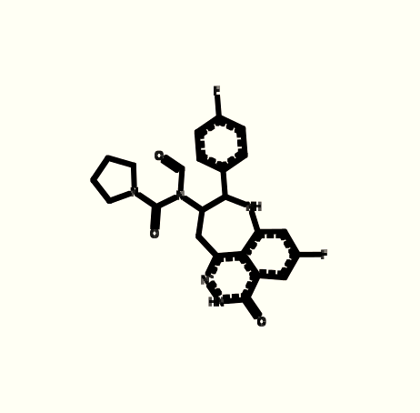 O=CN(C(=O)N1CCCC1)C1Cc2n[nH]c(=O)c3cc(F)cc(c23)NC1c1ccc(F)cc1